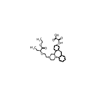 CCOC(=O)C(CC)OCCN1CCN2c3ccccc3Cc3ccccc3C2C1.O=C(O)C(=O)O